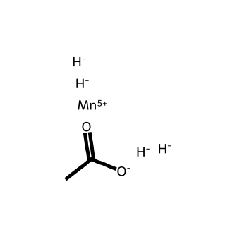 CC(=O)[O-].[H-].[H-].[H-].[H-].[Mn+5]